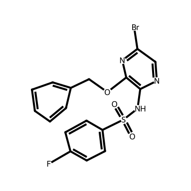 O=S(=O)(Nc1ncc(Br)nc1OCc1ccccc1)c1ccc(F)cc1